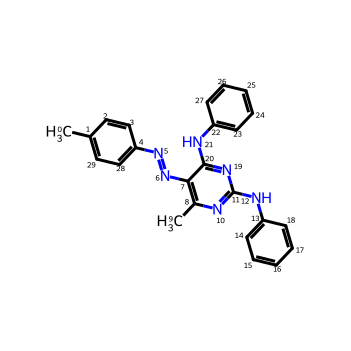 Cc1ccc(N=Nc2c(C)nc(Nc3ccccc3)nc2Nc2ccccc2)cc1